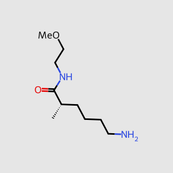 COCCNC(=O)[C@@H](C)CCCCN